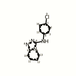 Clc1ccc(Nc2nnc3ccccn23)cc1